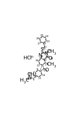 Cc1c(C(=O)c2ccc(CN(C)C)cc2)ccc2nc(SCc3ccccc3)n(C)c(=O)c12.Cl